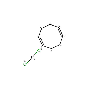 C1=CCCC=CCC1.[Cl][Ir][Cl]